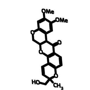 COc1cc2c(cc1OC)C1C(=O)c3ccc4c(c3OC1CO2)C=CC(C)(CO)O4